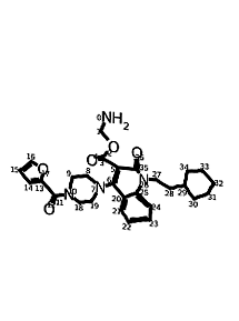 NCOC(=O)c1c(N2CCN(C(=O)c3ccco3)CC2)c2ccccc2n(CCC2CCCCC2)c1=O